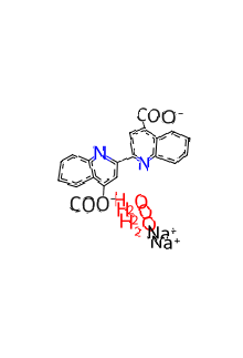 O.O.O.O=C([O-])c1cc(-c2cc(C(=O)[O-])c3ccccc3n2)nc2ccccc12.[Na+].[Na+]